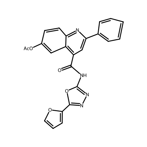 CC(=O)Oc1ccc2nc(-c3ccccc3)cc(C(=O)Nc3nnc(-c4ccco4)o3)c2c1